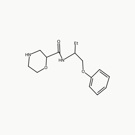 CCC(COc1ccccc1)NC(=O)C1CNCCO1